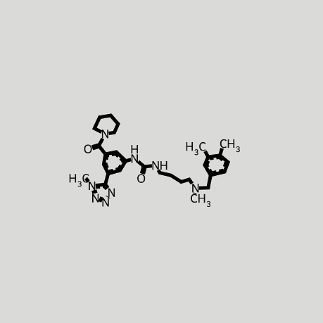 Cc1ccc(CN(C)CCCCNC(=O)Nc2cc(C(=O)N3CCCCC3)cc(-c3nnnn3C)c2)cc1C